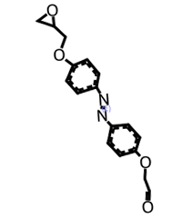 O=CCOc1ccc(/N=N/c2ccc(OCC3CO3)cc2)cc1